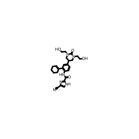 N#Cc1c[nH]c(C(=O)Nc2ccc(C3CN(CCO)C(=O)N(CCO)C3)cc2C2=CCCCC2)n1